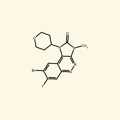 Cn1c(=O)n(C2CCOCC2)c2c3cc(Br)c(F)cc3nnc21